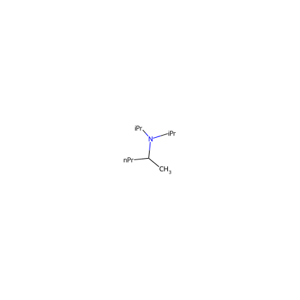 CCCC(C)N(C(C)C)C(C)C